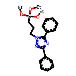 CCO[Si](CCCn1nc(-c2ccccc2)nc1-c1ccccc1)(OCC)OCC